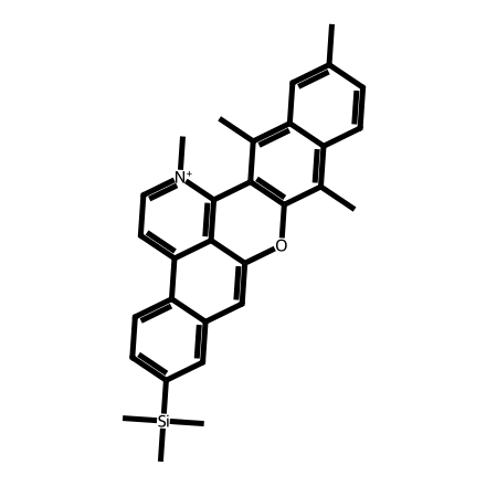 Cc1ccc2c(C)c3c(c(C)c2c1)-c1c2c(cc4cc([Si](C)(C)C)ccc4c2cc[n+]1C)O3